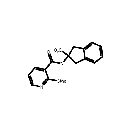 CSc1ncccc1C(=O)NC1(C(=O)O)Cc2ccccc2C1